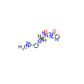 Cn1cc(-c2cccc(N3C[C@@H]4[C@H](C3)[C@@H]4c3noc(Cn4ncc5ncccc5c4=O)n3)c2)cn1